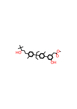 CCC(CC)(c1ccc(CCC(O)C(C)(C)C)c(C)c1)c1ccc(-c2cc(O)cc(CC(=O)OC)c2)c(C)c1